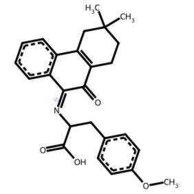 COc1ccc(CC(/N=C2\C(=O)C3=C(CC(C)(C)CC3)c3ccccc32)C(=O)O)cc1